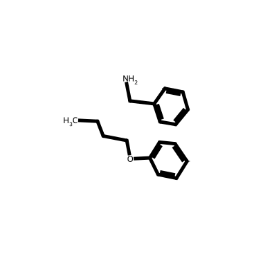 CCCCOc1cc[c]cc1.NCc1[c]cccc1